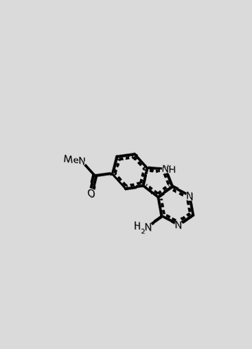 CNC(=O)c1ccc2[nH]c3ncnc(N)c3c2c1